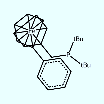 CC(C)(C)P(C[C]12[CH]3[CH]4[CH]5[CH]1[Fe]45321678[CH]2[CH]1[CH]6[C]7(c1ccccc1)[CH]28)C(C)(C)C